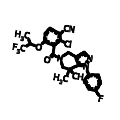 CC(Oc1ccc(C#N)c(Cl)c1C(=O)N1Cc2cnn(-c3ccc(F)cc3)c2C(C)(C)C1)C(F)(F)F